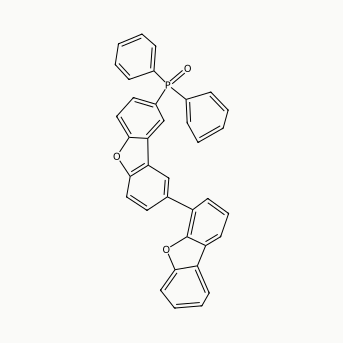 O=P(c1ccccc1)(c1ccccc1)c1ccc2oc3ccc(-c4cccc5c4oc4ccccc45)cc3c2c1